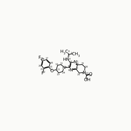 CC(C)Nc1nc2c(nc1N1CCC(Oc3ccc(F)cc3F)CC1)CN(C(=O)O)CC2